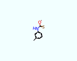 COC(=S)Nc1cccc(C)c1